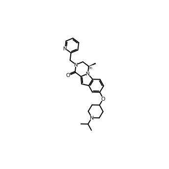 CC(C)N1CCC(Oc2ccc3c(c2)cc2n3[C@H](C)CN(Cc3ccccn3)C2=O)CC1